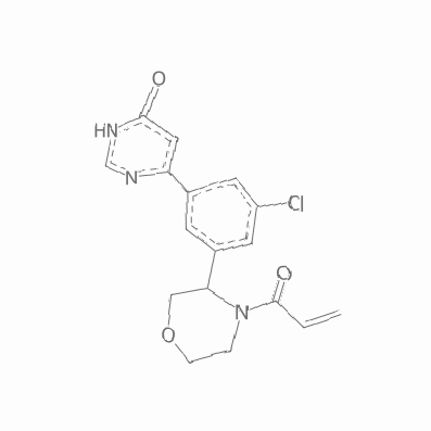 C=CC(=O)N1CCOCC1c1cc(Cl)cc(-c2cc(=O)[nH]cn2)c1